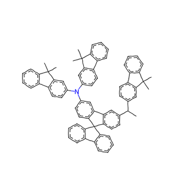 CC(c1ccc2c(c1)-c1cc(N(c3ccc4c(c3)C(C)(C)c3ccccc3-4)c3ccc4c(c3)C(C)(C)c3ccccc3-4)ccc1C21c2ccccc2-c2ccccc21)c1ccc2c(c1)C(C)(C)c1ccccc1-2